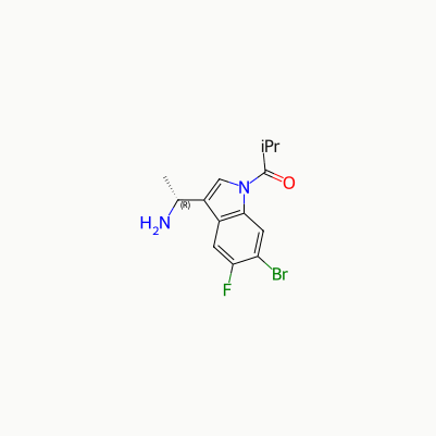 CC(C)C(=O)n1cc([C@@H](C)N)c2cc(F)c(Br)cc21